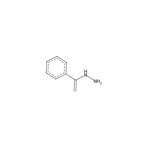 C=C(NN)c1ccccc1